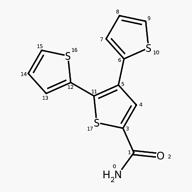 NC(=O)c1cc(-c2cccs2)c(-c2cccs2)s1